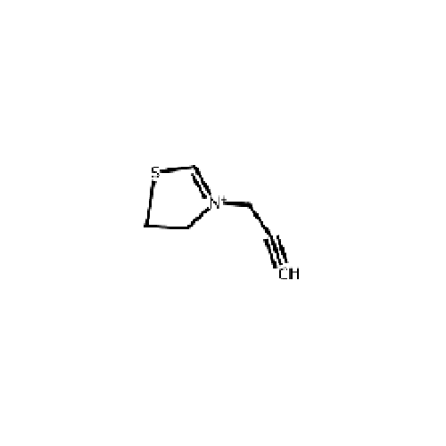 C#CC[N+]1=CSCC1